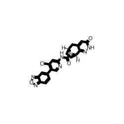 O=C(Nc1cc(Cl)c(-c2ccc3nonc3c2)cn1)N1[C@H]2CC[C@@H]1c1n[nH]c(=O)cc1C2